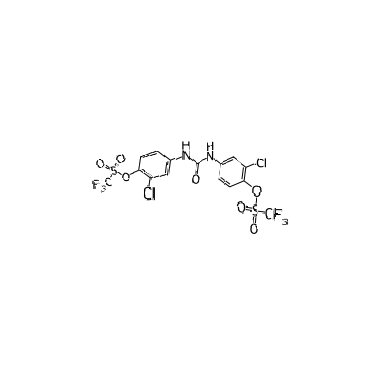 O=C(Nc1ccc(OS(=O)(=O)C(F)(F)F)c(Cl)c1)Nc1ccc(OS(=O)(=O)C(F)(F)F)c(Cl)c1